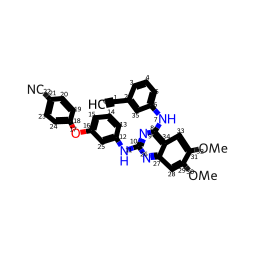 C#Cc1cccc(Nc2nc(Nc3cccc(Oc4ccc(C#N)cc4)c3)nc3cc(OC)c(OC)cc23)c1